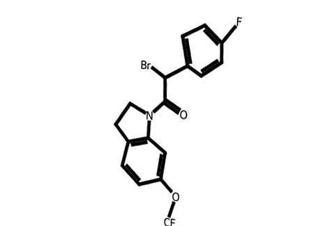 O=C(C(Br)c1ccc(F)cc1)N1CCc2ccc(OC(F)(F)F)cc21